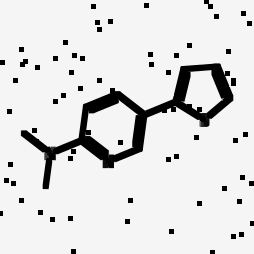 CN(C)c1ccc(-c2cccs2)cn1